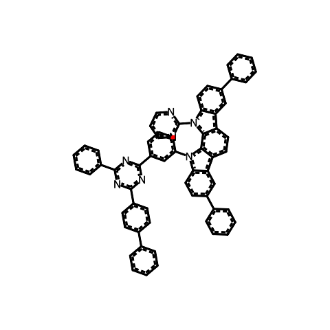 c1ccc(-c2ccc(-c3nc(-c4ccccc4)nc(-c4cccc(-n5c6ccc(-c7ccccc7)cc6c6ccc7c8cc(-c9ccccc9)ccc8n(-c8ncccn8)c7c65)c4)n3)cc2)cc1